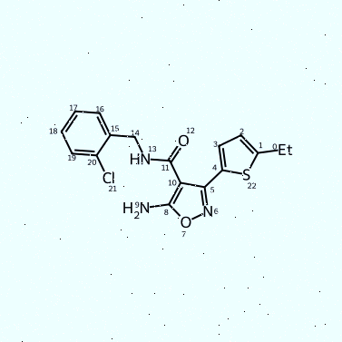 CCc1ccc(-c2noc(N)c2C(=O)NCc2ccccc2Cl)s1